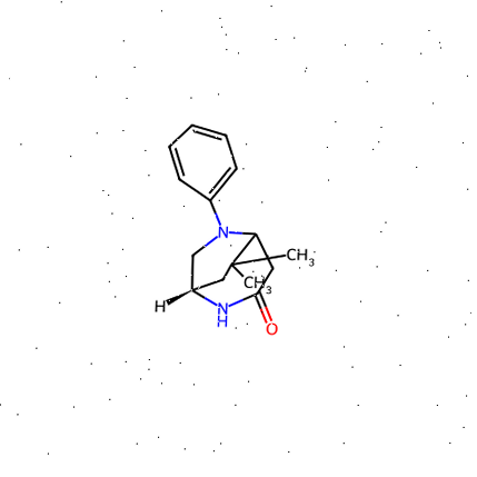 CC1(C)C[C@H]2CN(c3ccccc3)C1CC(=O)N2